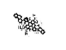 Bc1c(B)c(B)c2c(-c3ccc4oc5c6ccccc6ccc5c4c3)c3c(B)c(B)c(B)c(B)c3c(-c3cccc(-c4cccc5c4ccc4ccccc45)c3)c2c1B